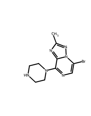 Cc1nc2c(N3CCNCC3)ncc(Br)n2n1